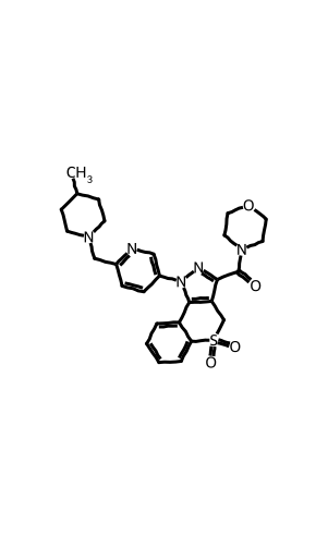 CC1CCN(Cc2ccc(-n3nc(C(=O)N4CCOCC4)c4c3-c3ccccc3S(=O)(=O)C4)cn2)CC1